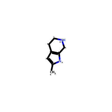 CC1=CC2=C(CNCC2)[N]1